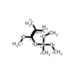 COC(O[Si](C)(OC)OC)=C(C)C